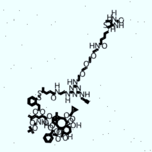 C#CCNc1nc(NCCNC(=O)CCC(C)SSc2ccccc2CC(=O)O[C@@H](C(=O)O[C@H]2C[C@@]3(O)[C@@H](OC(=O)c4ccccc4)[C@@H]4[C@]5(OC(C)=O)CO[C@@H]5C[C@H](O)[C@@]4(C)C(=O)[C@H](OC(=O)C4CC4)C(=C2C)C3(C)C)[C@H](C=C(C)C)NC(=O)OC(C)(C)C)nc(NCCOCCOCCOCCNC(=O)CCCC[C@@H]2SC[C@@H]3NC(=O)N[C@@H]32)n1